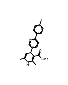 COC(=O)C1=C(C)NC(C)=CC1c1ccc(-c2ccc(I)cc2)nc1